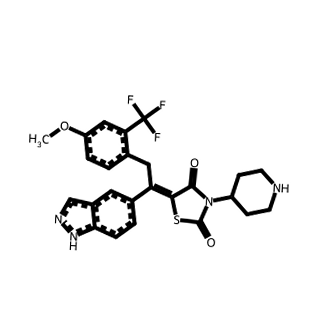 COc1ccc(C/C(=C2/SC(=O)N(C3CCNCC3)C2=O)c2ccc3[nH]ncc3c2)c(C(F)(F)F)c1